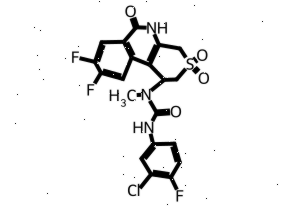 CN(C(=O)Nc1ccc(F)c(Cl)c1)C1CS(=O)(=O)Cc2[nH]c(=O)c3cc(F)c(F)cc3c21